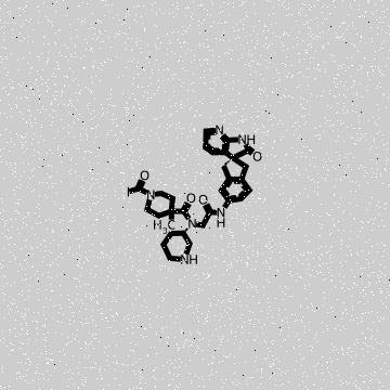 CC1(C(=O)N(CC(=O)Nc2ccc3c(c2)C[C@@]2(C3)C(=O)Nc3ncccc32)[C@H]2CCCNC2)CCN(C(=O)I)CC1